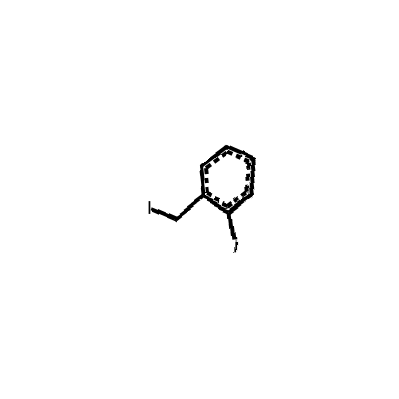 ICc1ccccc1I